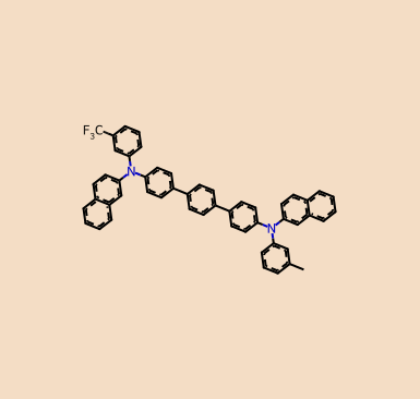 Cc1cccc(N(c2ccc(-c3ccc(-c4ccc(N(c5cccc(C(F)(F)F)c5)c5ccc6ccccc6c5)cc4)cc3)cc2)c2ccc3ccccc3c2)c1